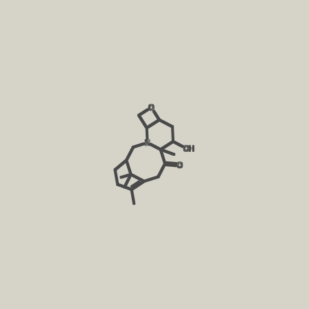 CC1=C2CC(=O)C3(C)C(O)CC4OCC4N3CC(CC1)C2(C)C